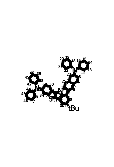 CC(C)(C)c1cc2c3cc4ccc(N(c5ccccc5)c5ccccc5)cc4cc3n3c2c(c1)c1sc2cc(N(c4ccccc4)c4ccccc4)ccc2c13